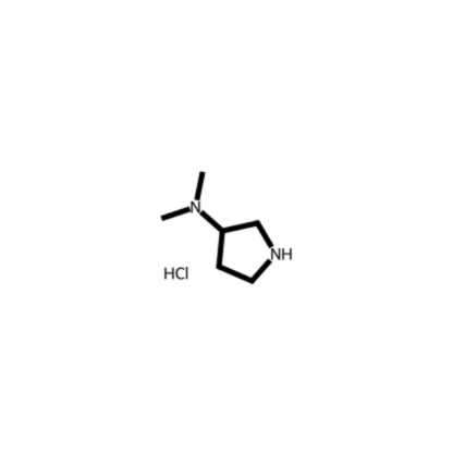 CN(C)C1CCNC1.Cl